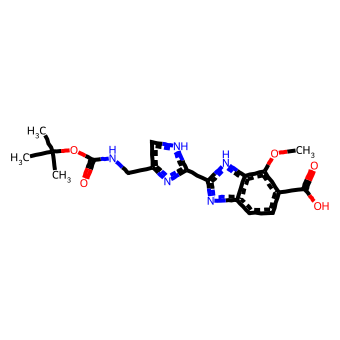 COc1c(C(=O)O)ccc2nc(-c3nc(CNC(=O)OC(C)(C)C)c[nH]3)[nH]c12